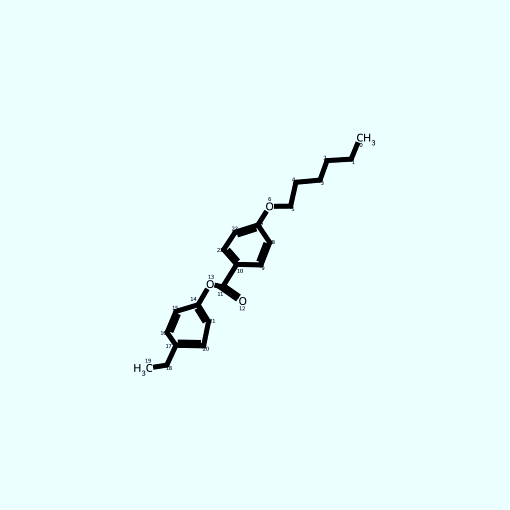 CCCCCCOc1ccc(C(=O)Oc2ccc(CC)cc2)cc1